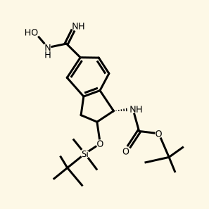 CC(C)(C)OC(=O)N[C@H]1c2ccc(C(=N)NO)cc2CC1O[Si](C)(C)C(C)(C)C